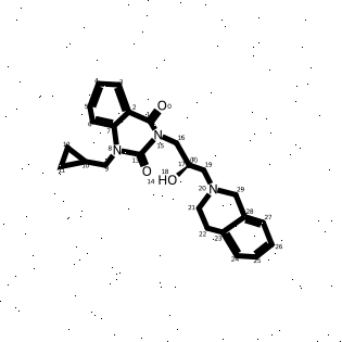 O=c1c2ccccc2n(CC2CC2)c(=O)n1C[C@H](O)CN1CCc2ccccc2C1